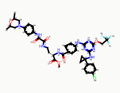 COC(=O)[C@H](CCNC(=O)C(=O)Nc1ccc(N2CC(C)OC(C)C2)cc1)NC(=O)c1ccc(Nc2nc(NC3(c4ccc(Cl)cc4)CC3)nc(OCC(F)(F)F)n2)cc1